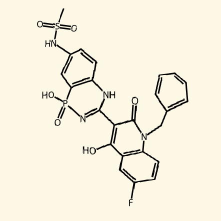 CS(=O)(=O)Nc1ccc2c(c1)P(=O)(O)N=C(c1c(O)c3cc(F)ccc3n(Cc3ccccc3)c1=O)N2